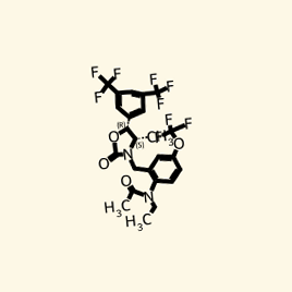 CCN(C(C)=O)c1ccc(OC(F)(F)F)cc1CN1C(=O)O[C@H](c2cc(C(F)(F)F)cc(C(F)(F)F)c2)[C@@H]1C